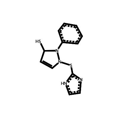 SC1C=CN(Sc2ncc[nH]2)N1c1ccccc1